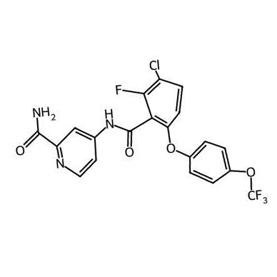 NC(=O)c1cc(NC(=O)c2c(Oc3ccc(OC(F)(F)F)cc3)ccc(Cl)c2F)ccn1